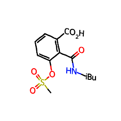 CCC(C)NC(=O)c1c(OS(C)(=O)=O)cccc1C(=O)O